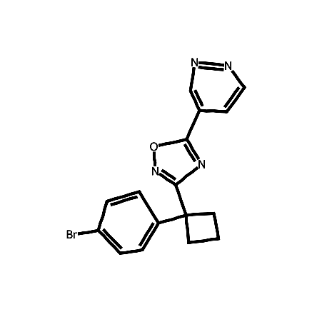 Brc1ccc(C2(c3noc(-c4ccnnc4)n3)CCC2)cc1